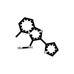 Cc1cccc2nc(-c3ccco3)c(NC(C)(C)C)n12